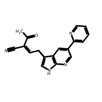 CC(=O)C(C#N)=CCc1c[nH]c2ncc(-c3ccccn3)cc12